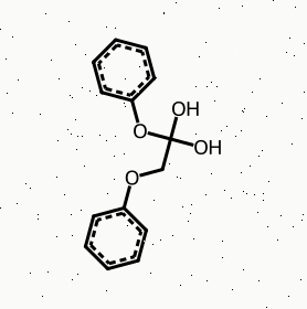 OC(O)(COc1ccccc1)Oc1ccccc1